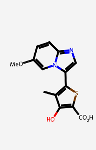 COc1ccc2ncc(-c3sc(C(=O)O)c(O)c3C)n2c1